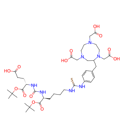 CC(C)(C)OC(=O)[C@H](CCCCNC(=S)Nc1ccc(CC2CN(CC(=O)O)CCN(CC(=O)O)CCN2CC(=O)O)cc1)NC(=O)N[C@@H](CCC(=O)O)C(=O)OC(C)(C)C